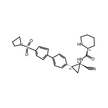 N#C[C@@]1(NC(=O)[C@@H]2CCCCN2)C[C@@H]1c1ccc(-c2ccc(S(=O)(=O)N3CCC3)cc2)cc1